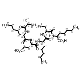 CC(C)C[C@H](NC(=O)[C@H](CCCCN)NC(=O)[C@H](CCC(=O)O)NC(=O)[C@H](CCCCN)NC(=O)[C@@H](N)C(C)C)C(=O)N[C@@H](CCCCN)C(=O)O